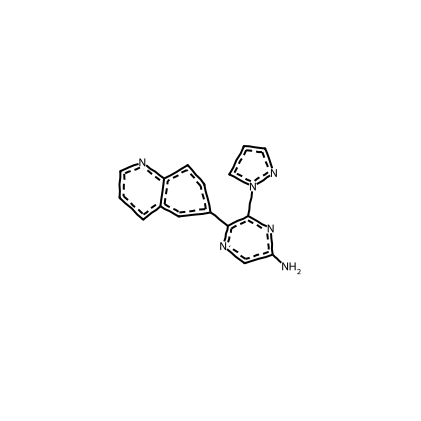 Nc1cnc(-c2ccc3ncccc3c2)c(-n2cccn2)n1